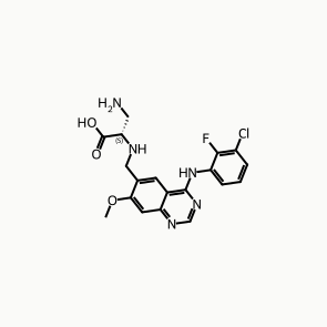 COc1cc2ncnc(Nc3cccc(Cl)c3F)c2cc1CN[C@@H](CN)C(=O)O